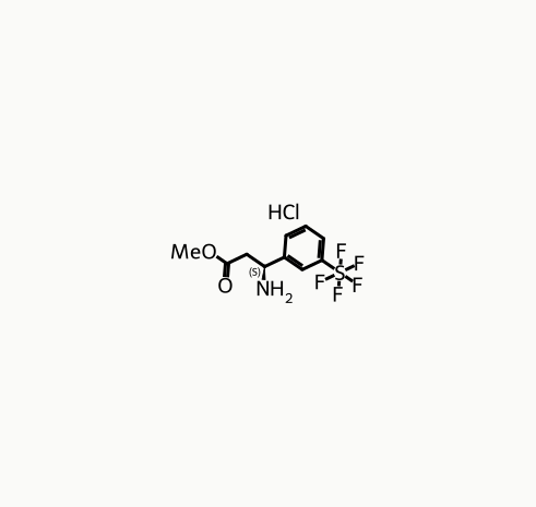 COC(=O)C[C@H](N)c1cccc(S(F)(F)(F)(F)F)c1.Cl